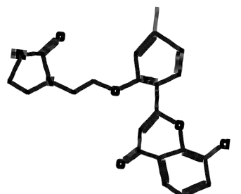 Cc1ccc(-c2cc(=O)c3cccc(Cl)c3o2)c(OCCN2CCNC2=O)c1